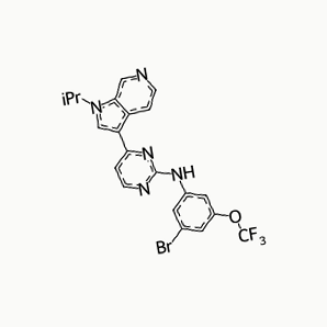 CC(C)n1cc(-c2ccnc(Nc3cc(Br)cc(OC(F)(F)F)c3)n2)c2ccncc21